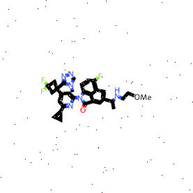 COCCNC(C)c1cc2c3c(ccc(F)c3c1)N(c1cc(C3(c4nncn4C)CC(F)(F)C3)cc(C3CC3)n1)C2=O